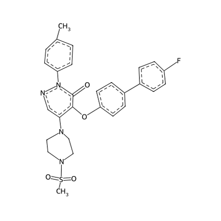 Cc1ccc(-n2ncc(N3CCN(S(C)(=O)=O)CC3)c(Oc3ccc(-c4ccc(F)cc4)cc3)c2=O)cc1